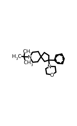 CC(C)(C)N1CCC2(CC1)CCC(c1ccccc1)(N1CCOCC1)C2